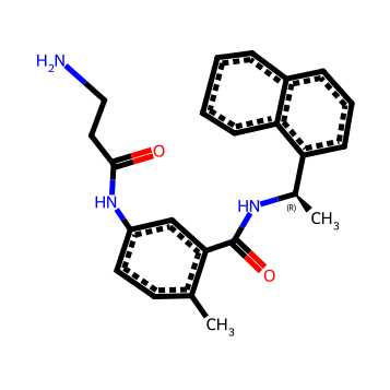 Cc1ccc(NC(=O)CCN)cc1C(=O)N[C@H](C)c1cccc2ccccc12